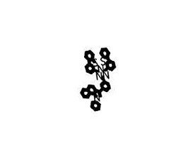 c1ccc(-n2cc(-c3cccc(-c4nc(-c5cccc6c5sc5ccccc56)nc(-c5cccc6c5sc5ccccc56)n4)c3)c3ccc4ccccc4c32)cc1